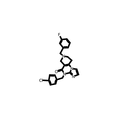 O=c1c2c(n3ccnc3n1Cc1ccc(Cl)cc1)CCN(Cc1cccc(F)c1)C2